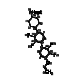 C=COc1ccc(-c2ccc(C3CCC(CCCCCCC)CC3)c(F)c2F)c(F)c1F